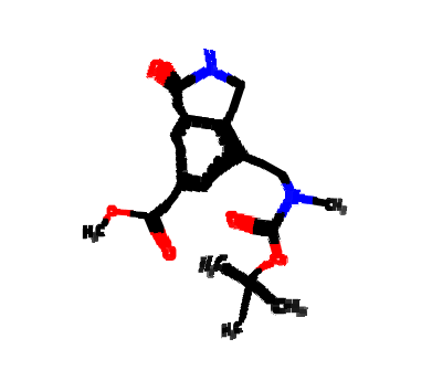 COC(=O)c1cc(CN(C)C(=O)OC(C)(C)C)c2c(c1)C(=O)NC2